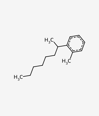 CCCCCCC(C)c1ccccc1C